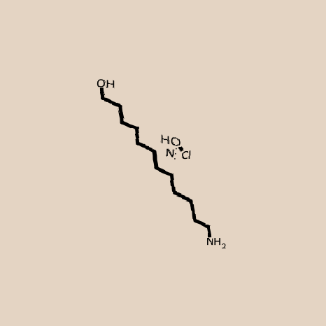 NCCCCCCCCCCCCO.OCl.[N]